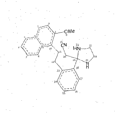 COc1ccc2ccccc2c1CCc1ccccc1C1(CC#N)NCCN1